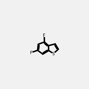 Fc1cc(F)c2ccsc2c1